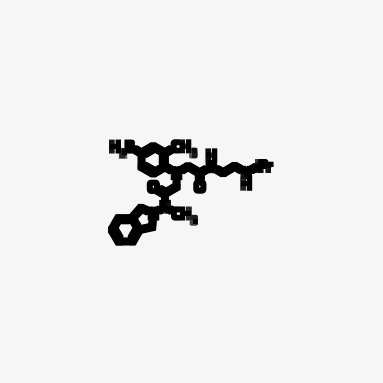 Bc1ccc(N(CC(=O)NCCNC(C)C)CC(=O)N(C)N2Cc3ccccc3C2)c(C)c1